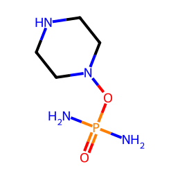 NP(N)(=O)ON1CCNCC1